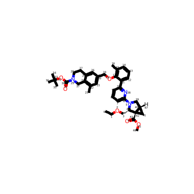 CCOC[C@@H]1N(c2cccc(-c3cccc(C)c3OCc3cc(C)c4c(c3)CCN(C(=O)OC(C)(C)C)C4)n2)C[C@@H]2C[C@@]21C(=O)OC